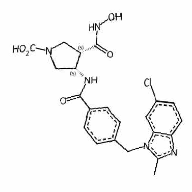 Cc1nc2ccc(Cl)cc2n1Cc1ccc(C(=O)N[C@@H]2CN(C(=O)O)C[C@@H]2C(=O)NO)cc1